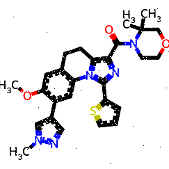 COc1cc2c(cc1-c1cnn(C)c1)-n1c(-c3cccs3)nc(C(=O)N3CCOCC3(C)C)c1CC2